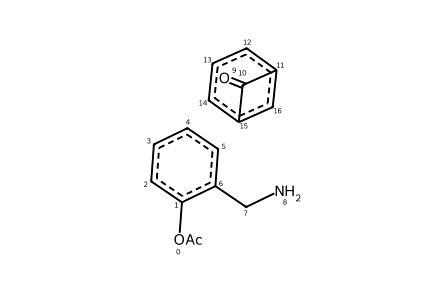 CC(=O)Oc1ccccc1CN.O=C1c2cccc1c2